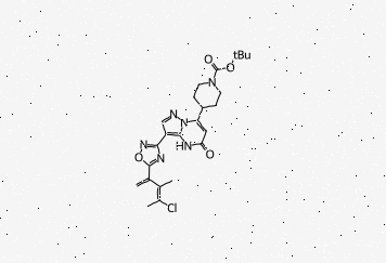 C=C(/C(C)=C(\C)Cl)c1nc(-c2cnn3c(C4CCN(C(=O)OC(C)(C)C)CC4)cc(=O)[nH]c23)no1